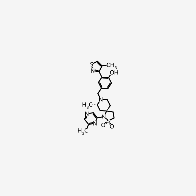 Cc1cncc(N2[C@@]3(CCN(Cc4ccc(O)c(-c5nscc5C)c4)[C@@H](C)C3)CCS2(=O)=O)n1